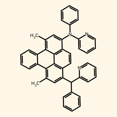 Cc1cc(C(c2ccccc2)c2ccccn2)c2ccc3c(N(c4ccccc4)c4ccccn4)cc(C)c4c5ccccc5c1c2c34